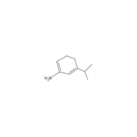 CC(C)C1=CC(N)=CCC1